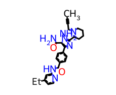 CC#CCN1CCCCC1c1nc(-c2ccc(C(=O)Nc3cc(CC)ccn3)cc2)c(C(N)=O)n1N